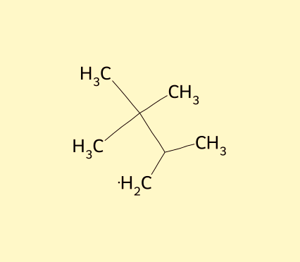 [CH2]C(C)C(C)(C)C